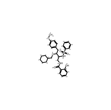 COc1ccc(CC(OCC2CCCCC2)C(CNC(=O)c2ccccc2O)NS(=O)(=O)c2ccccc2)cc1